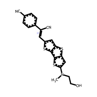 CN(CCO)c1cc2sc3cc(/C=C(\C#N)c4ccc(C#N)cc4)sc3c2s1